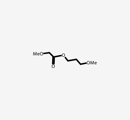 COCCCOC(=O)COC